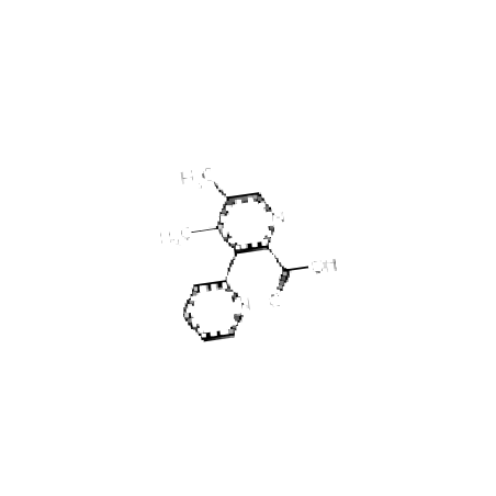 Cc1cnc(C(=O)O)c(-c2ccccn2)c1C